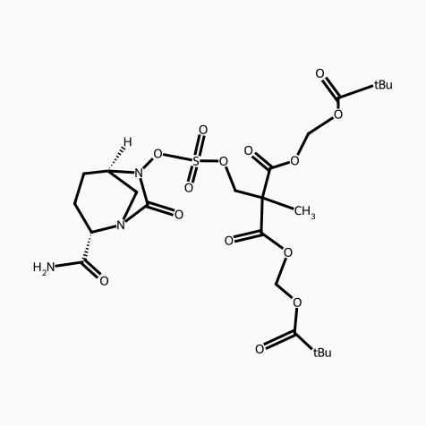 CC(C)(C)C(=O)OCOC(=O)C(C)(COS(=O)(=O)ON1C(=O)N2C[C@H]1CC[C@H]2C(N)=O)C(=O)OCOC(=O)C(C)(C)C